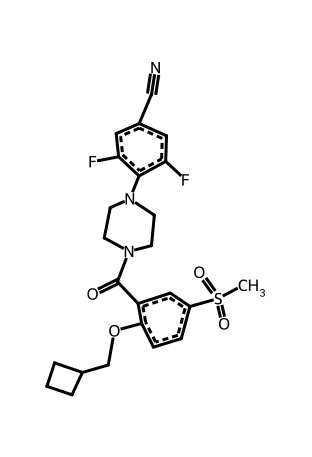 CS(=O)(=O)c1ccc(OCC2CCC2)c(C(=O)N2CCN(c3c(F)cc(C#N)cc3F)CC2)c1